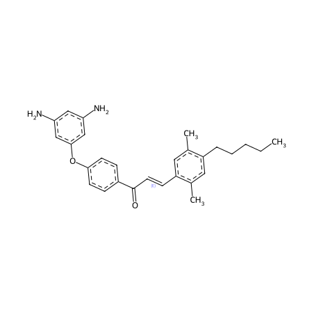 CCCCCc1cc(C)c(/C=C/C(=O)c2ccc(Oc3cc(N)cc(N)c3)cc2)cc1C